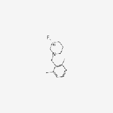 Cc1cccc(C)c1CN1CCC[C@@H](F)C1